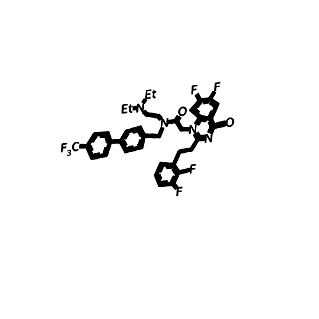 CCN(CC)CCN(Cc1ccc(-c2ccc(C(F)(F)F)cc2)cc1)C(=O)Cn1c(CCc2cccc(F)c2F)nc(=O)c2cc(F)c(F)cc21